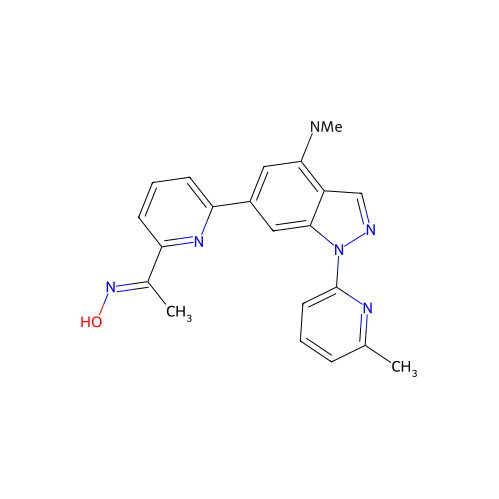 CNc1cc(-c2cccc(/C(C)=N/O)n2)cc2c1cnn2-c1cccc(C)n1